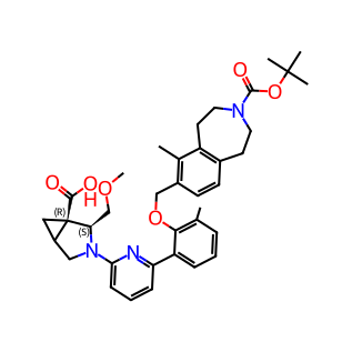 COC[C@H]1N(c2cccc(-c3cccc(C)c3OCc3ccc4c(c3C)CCN(C(=O)OC(C)(C)C)CC4)n2)CC2C[C@@]21C(=O)O